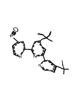 CC(C)(C)c1ccnc(-c2cc(C(C)(C)C)cc(-c3cc(P=O)ccn3)n2)c1